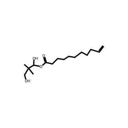 C=CCCCCCCCCC(=O)OC(O)C(C)(C)CO